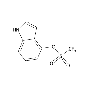 O=S(=O)(Oc1cccc2[nH]ccc12)C(F)(F)F